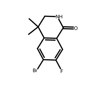 CC1(C)CNC(=O)c2cc(F)c(Br)cc21